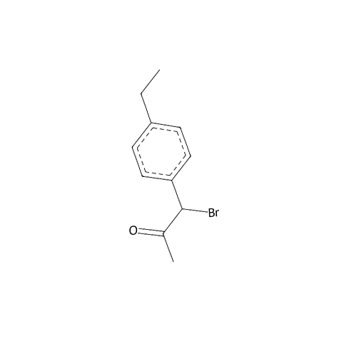 CCc1ccc(C(Br)C(C)=O)cc1